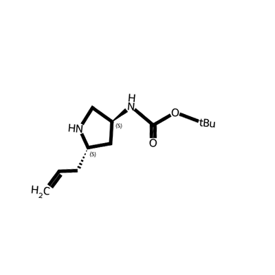 C=CC[C@H]1C[C@H](NC(=O)OC(C)(C)C)CN1